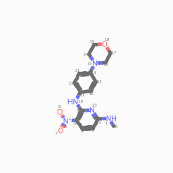 CNc1ccc([N+](=O)[O-])c(Nc2ccc(N3CCOCC3)cc2)n1